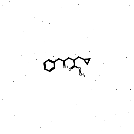 COC(=O)C(CC(=N)Cc1ccccc1)CC1CC1